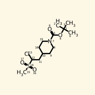 CC(C)(C)OC(=O)N1CCC(CC(Cl)S(C)(=O)=O)CC1